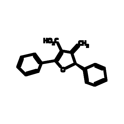 C=C1C(C(=O)O)=C(c2ccccc2)O[C@@H]1c1ccccc1